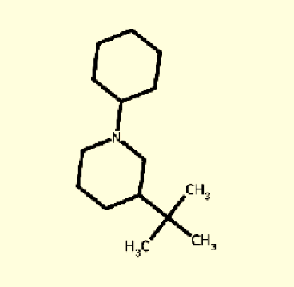 CC(C)(C)C1CCCN(C2CCCCC2)C1